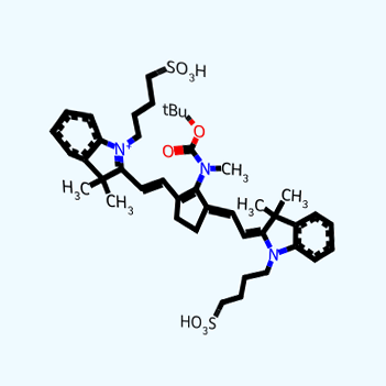 CN(C(=O)OC(C)(C)C)C1=C(/C=C/C2=[N+](CCCCS(=O)(=O)O)c3ccccc3C2(C)C)CC/C1=C\C=C1\N(CCCCS(=O)(=O)O)c2ccccc2C1(C)C